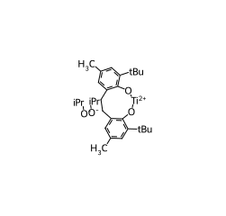 CC(C)[O-].CC(C)[O-].Cc1cc2c(c(C(C)(C)C)c1)[O][Ti+2][O]c1c(cc(C)cc1C(C)(C)C)CC2